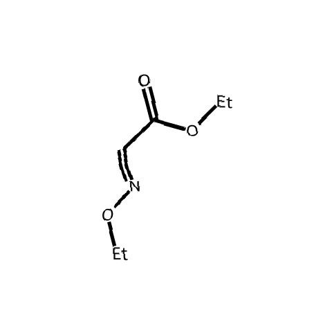 CCON=CC(=O)OCC